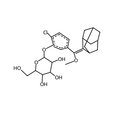 COC(=C1C2CC3CC(C2)CC1C3)c1ccc(Cl)c(OC2OC(CO)C(O)C(O)C2O)c1